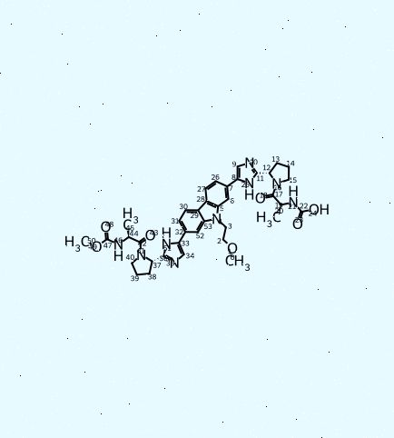 COCCn1c2cc(-c3cnc([C@@H]4CCCN4C(=O)[C@H](C)NC(=O)O)[nH]3)ccc2c2ccc(-c3cnc([C@@H]4CCCN4C(=O)[C@H](C)NC(=O)OC)[nH]3)cc21